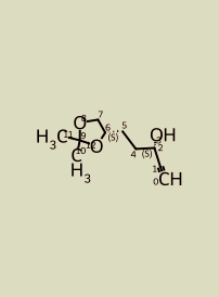 C#C[C@@H](O)CC[C@H]1COC(C)(C)O1